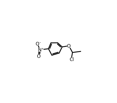 CC(Cl)Oc1ccc([N+](=O)[O-])cc1